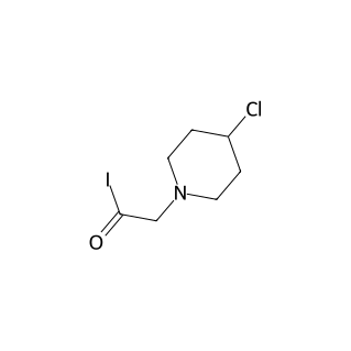 O=C(I)CN1CCC(Cl)CC1